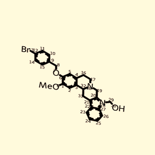 COc1cc2c(cc1OCc1ccc(Br)cc1)CCN1Cc3c(c4ccccc4n3CO)CC21